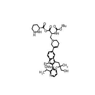 CCn1c(-c2cccnc2[C@H](C)OC)c(CC(C)(C)CO)c2cc(C3=CCCN(C[C@H](NC(=O)OC(C)(C)C)C(=O)OC(=O)[C@@H]4CCCNN4)C3)ccc21